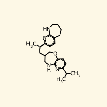 CC(C)c1ccc2c(n1)NCC(C[C@@H](C)c1ccc3c(n1)NCCCC3)CO2